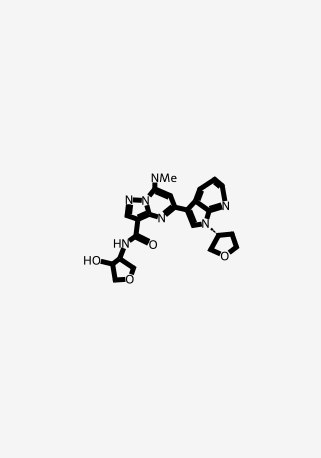 CNc1cc(-c2cn([C@@H]3CCOC3)c3ncccc23)nc2c(C(=O)NC3COCC3O)cnn12